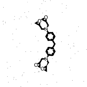 c1cc(N(CC2CO2)CC2CO2)ccc1Cc1ccc(N(CC2CO2)C[C@H]2CO2)cc1